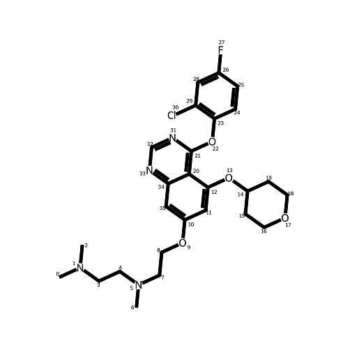 CN(C)CCN(C)CCOc1cc(OC2CCOCC2)c2c(Oc3ccc(F)cc3Cl)ncnc2c1